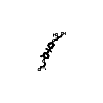 Cc1cc(C(C)(C)c2ccc(OC[C@@H](O)CO)cc2)ccc1OC[C@H](C)CCl